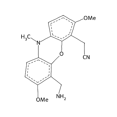 COc1ccc2c(c1CN)Oc1c(ccc(OC)c1CC#N)N2C